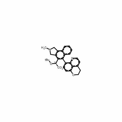 CN1Cc2c([C@H](OC(C)(C)C)C(=O)O)c(-c3ccc4c5c(ccnc35)CCO4)c3ccccc3c2C1